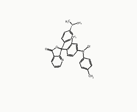 CCN(c1ccc(C)cc1)c1ccc(C2(c3ccc(N(C)C)cc3)OC(=O)c3cccnc32)c(C)c1